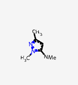 CNc1cc(C)nn1C